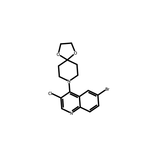 Clc1cnc2ccc(Br)cc2c1N1CCC2(CC1)OCCO2